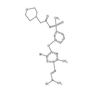 CCN(C)C=Nc1cc(Br)c(Oc2cccc(S(C)(=O)=NC(=O)CC3CCOCC3)c2)nc1C